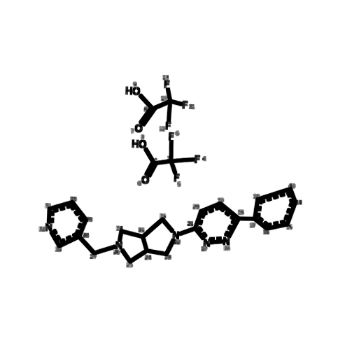 O=C(O)C(F)(F)F.O=C(O)C(F)(F)F.c1ccc(-c2ccc(N3CC4CN(Cc5cccnc5)CC4C3)nn2)cc1